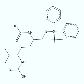 CC(C)C(CCC(CO[Si](c1ccccc1)(c1ccccc1)C(C)(C)C)NC(=O)O)NC(=O)O